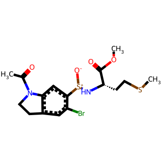 COC(=O)[C@H](CCSC)N[S+]([O-])c1cc2c(cc1Br)CCN2C(C)=O